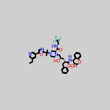 CCc1cncc(-c2cnc(C(C)(C)N3CCN(C[C@@H](O)C[C@@H](Cc4ccccc4)C(=O)N[C@H]4c5ccccc5OC[C@H]4O)[C@H](C(=O)NCC(F)(F)F)C3)o2)c1